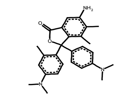 Cc1cc(N(C)C)ccc1C1(c2ccc(N(C)C)cc2)OC(=O)c2cc(N)c(C)c(C)c21